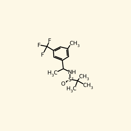 Cc1cc(C(C)N[S@+]([O-])C(C)(C)C)cc(C(F)(F)F)c1